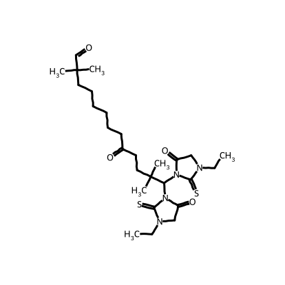 CCN1CC(=O)N(C(N2C(=O)CN(CC)C2=S)C(C)(C)CCC(=O)CCCCCCC(C)(C)C=O)C1=S